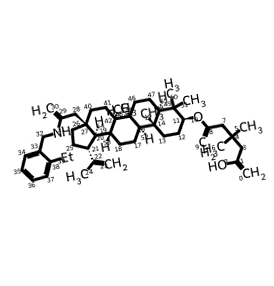 C=C(O)CC(C)(C)CC(=C)O[C@H]1CC[C@]2(C)[C@H]3CC[C@@H]4[C@H]5[C@H](C(=C)C)CC[C@]5(CC(=C)NCc5ccccc5CC)CC[C@@]4(C)[C@]3(C)CC[C@H]2C1(C)C